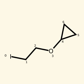 ICCOC1CC1